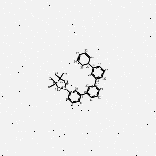 CC1(C)OB(c2cccc(-c3cccc(-c4cccc(C5C=CC=CC5)c4)c3)c2)OC1(C)C